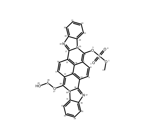 COS(=O)(=O)Oc1c2ccc3c4c(ccc(c24)c2nc4ccccc4n12)c(OSO)n1c2ccccc2nc31